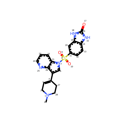 CN1CC=C(c2cn(S(=O)(=O)c3ccc4[nH]c(=O)[nH]c4c3)c3cccnc23)CC1